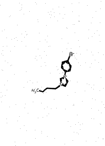 CCCCn1cc[n+](-c2ccc(Br)cc2)c1